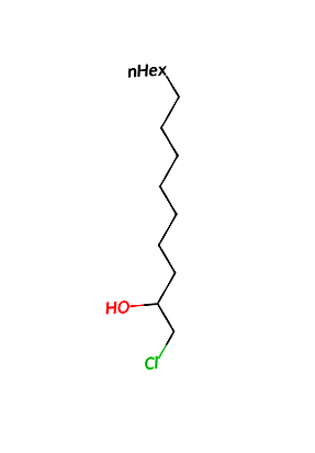 CCCCCCCCCCCCCC(O)CCl